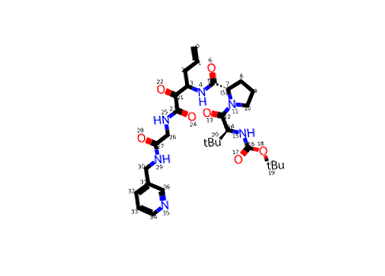 C=CCC(NC(=O)[C@@H]1CCCN1C(=O)[C@@H](NC(=O)OC(C)(C)C)C(C)(C)C)C(=O)C(=O)NCC(=O)NCc1cccnc1